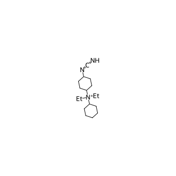 CC[N+](CC)(C1CCCCC1)C1CCC(N=C=N)CC1